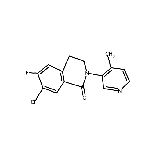 Cc1ccncc1N1CCc2cc(F)c(Cl)cc2C1=O